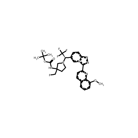 COc1cccc2ccc(-c3nnc4ccc([C@@H](N5CCC(CF)(NC(=O)OC(C)(C)C)C5)C(F)(F)F)cn34)nc12